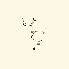 COC(=O)[C@H]1C[C@@H](Br)C[C@H]1C